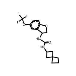 O=C(NC1CC2(CCC2)C1)NC1COc2ccc(OC(F)(F)F)cc21